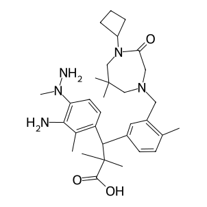 Cc1ccc(C(c2ccc(N(C)N)c(N)c2C)C(C)(C)C(=O)O)cc1CN1CC(=O)N(C2CCC2)CC(C)(C)C1